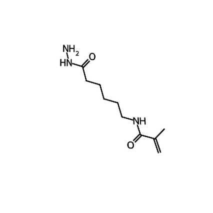 C=C(C)C(=O)NCCCCCC(=O)NN